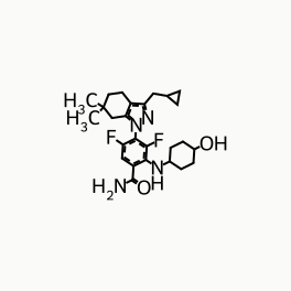 CC1(C)CCc2c(CC3CC3)nn(-c3c(F)cc(C(N)=O)c(NC4CCC(O)CC4)c3F)c2C1